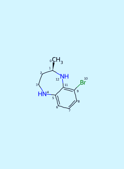 C[C@@H]1CCNc2cccc(Br)c2N1